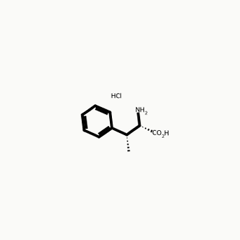 C[C@H](c1ccccc1)[C@H](N)C(=O)O.Cl